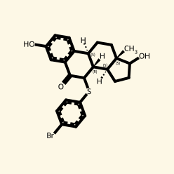 C[C@]12CC[C@@H]3c4ccc(O)cc4C(=O)C(Sc4ccc(Br)cc4)[C@H]3[C@@H]1CCC2O